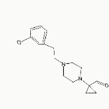 O=CC1(N2CCN(CCc3c[c]cc(Cl)c3)CC2)CC1